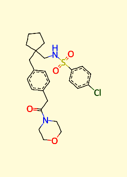 O=C(Cc1ccc(CC2(CNS(=O)(=O)c3ccc(Cl)cc3)CCCC2)cc1)N1CCOCC1